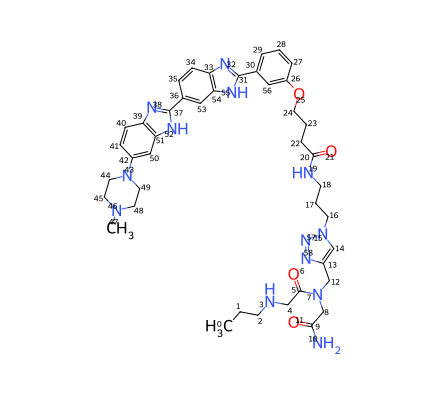 CCCNCC(=O)N(CC(N)=O)Cc1cn(CCCNC(=O)CCCOc2cccc(-c3nc4ccc(-c5nc6ccc(N7CCN(C)CC7)cc6[nH]5)cc4[nH]3)c2)nn1